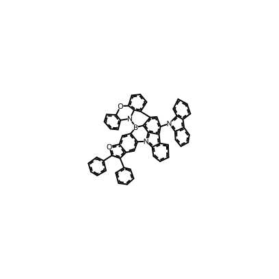 c1ccc(-c2oc3cc4c(cc3c2-c2ccccc2)-n2c3ccccc3c3c(-n5c6ccccc6c6ccccc65)cc5c(c32)B4N2c3ccccc3Oc3cccc-5c32)cc1